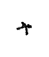 c1ccc2c(c1)-c1cccc3c(-c4cc(-c5ccc6c7c(cccc57)-c5ccccc5-6)c5nc(-c6ccc(-c7nc8ccccc8o7)cc6)nc(-c6ccc(-c7nc8ccccc8o7)cc6)c5c4)ccc-2c13